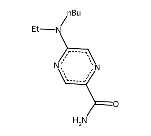 CCCCN(CC)c1cnc(C(N)=O)cn1